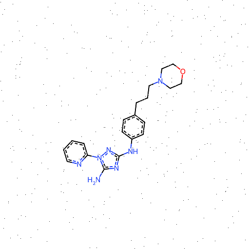 Nc1nc(Nc2ccc(CCCN3CCOCC3)cc2)nn1-c1ccccn1